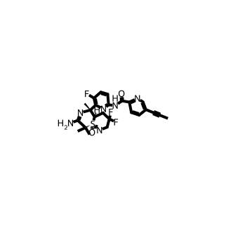 CC#Cc1ccc(C(=O)Nc2ccc(F)c([C@@]3(C)N=C(N)C(C)(C)[S@@]4(=O)=NCC(F)(F)C[C@H]34)n2)nc1